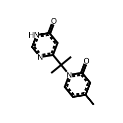 Cc1ccn(C(C)(C)c2cc(=O)[nH]cn2)c(=O)c1